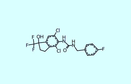 O=C(NCc1ccc(F)cc1)Nc1c(Cl)cc2c(c1Cl)CCC2(O)C(F)(F)F